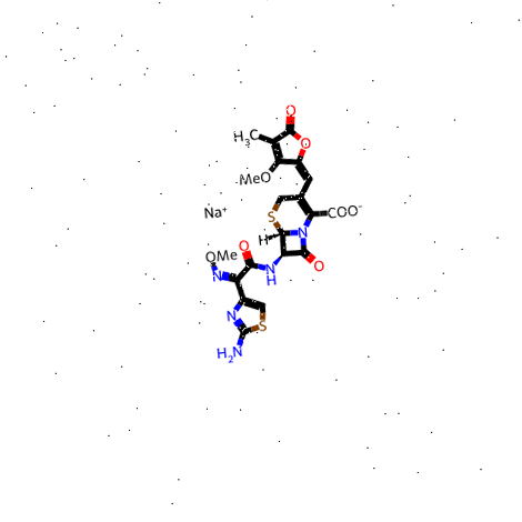 CO/N=C(\C(=O)N[C@@H]1C(=O)N2C(C(=O)[O-])=C(/C=C3/OC(=O)C(C)=C3OC)CS[C@@H]12)c1csc(N)n1.[Na+]